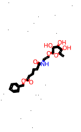 CC1OC(OCCNC(=O)CCCCC(=O)OCc2ccccc2)C(O)C(O)C1O